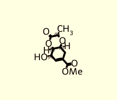 COC(=O)C1=C[C@@H](O)[C@@H]2OC(=O)[C@@H](C)O[C@H]2C1